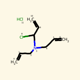 C=CCN(CC=C)C(Cl)C=C.Cl